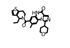 CCC1c2ccsc2CCN1C(=O)c1cc2[nH]c(=O)c3cnc(C4CCOCC4)n3c2cc1C